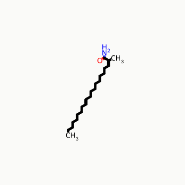 CCCCCCCCC=CCCCCCCCCC=C(C)C(N)=O